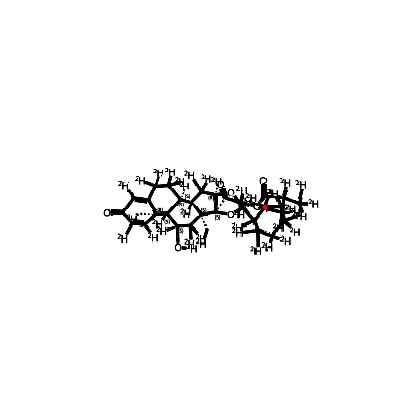 [2H]C[C@]12C([2H])=C([2H])C(=O)C([2H])=C1C([2H])([2H])C([2H])([2H])[C@@]1([2H])[C@]3([2H])C([2H])([2H])[C@@]4([2H])O[C@@]([2H])(C5([2H])C([2H])([2H])C([2H])([2H])C([2H])([2H])C([2H])([2H])C5([2H])[2H])O[C@@]4(C(=O)C([2H])([2H])OC(=O)C([2H])(C([2H])([2H])[2H])C([2H])([2H])[2H])[C@@]3(C[2H])C([2H])([2H])[C@]([2H])(O[2H])[C@]21[2H]